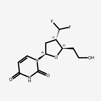 O=c1ccn([C@H]2C[C@H](C(F)F)[C@@H](CCO)O2)c(=O)[nH]1